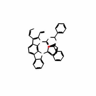 C=Cc1c(/C=C\C)c2ccc3c4ccccc4n(-c4ccccc4)c3c2n1C1=NC(c2ccccc2)=NC(c2ccccc2)N1